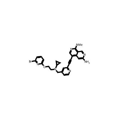 CNc1ncc(C#Cc2cc(CN(CCOc3cccc(Br)n3)C3CC3)ccn2)c2cc(N)ncc12